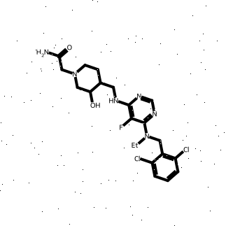 CCN(Cc1c(Cl)cccc1Cl)c1ncnc(NCC2CCN(CC(N)=O)CC2O)c1F